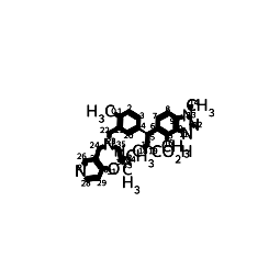 Cc1ccc([C@@H](c2ccc3c(nnn3C)c2C)[C@@H](C)C(=O)O)cc1CN1Cc2cnccc2OC(C)(C)C1